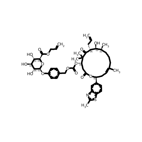 C=CCOC(=O)[C@H]1O[C@@H](Oc2ccc(COC(=O)O[C@H]3CC(=O)O[C@H](c4ccc5sc(C)nc5c4)CC=C(C)CCC[C@H](C)[C@H](O)[C@@H](CC=C)C(=O)C3(C)C)cc2)[C@H](O)[C@@H](O)[C@@H]1O